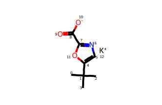 CC(C)(C)c1cnc(C(=O)[O-])o1.[K+]